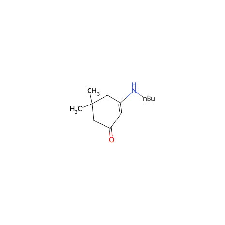 CCCCNC1=CC(=O)CC(C)(C)C1